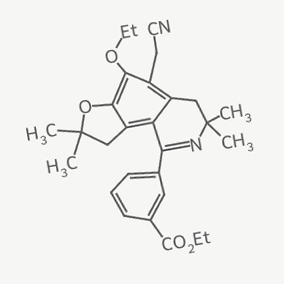 CCOC(=O)c1cccc(C2=NC(C)(C)Cc3c(CC#N)c(OCC)c4c(c32)CC(C)(C)O4)c1